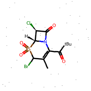 CC1=C(C(=O)C(C)(C)C)N2C(=O)[C@H](Cl)[C@H]2S(=O)(=O)C1Br